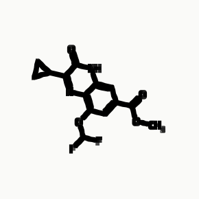 COC(=O)c1cc(OC(F)F)c2nc(C3CC3)c(=O)[nH]c2c1